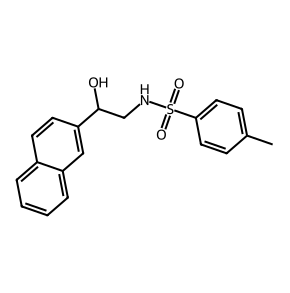 Cc1ccc(S(=O)(=O)NCC(O)c2ccc3ccccc3c2)cc1